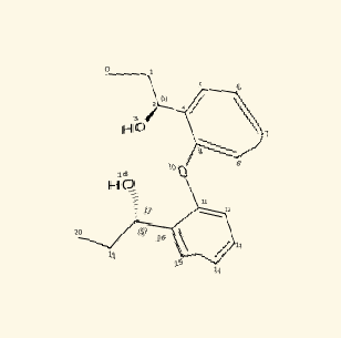 CC[C@H](O)c1ccccc1Oc1ccccc1[C@@H](O)CC